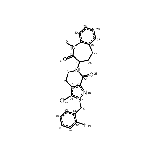 CN1C(=O)C(N2CCc3c(nn(Cc4ccccc4F)c3Cl)C2=O)CCc2cnccc21